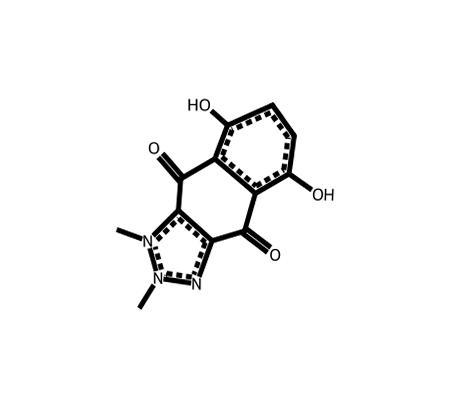 Cn1c2c(n[n+]1C)C(=O)c1c(O)ccc(O)c1C2=O